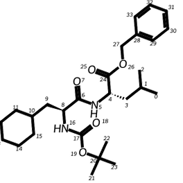 CC(C)C[C@H](NC(=O)[C@H](CC1CCCCC1)NC(=O)OC(C)(C)C)C(=O)OCc1ccccc1